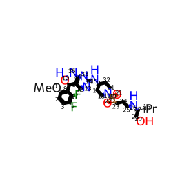 COc1ccc(F)c(F)c1C(=O)c1cnc(NC2CCN(S(=O)(=O)CCCN[C@@H](CO)C(C)C)CC2)nc1N